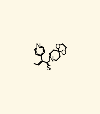 CC=C(C(=S)N1CCC2(CC1)OCCO2)c1ccncc1